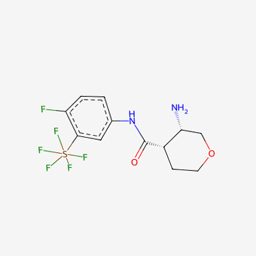 N[C@@H]1COCC[C@@H]1C(=O)Nc1ccc(F)c(S(F)(F)(F)(F)F)c1